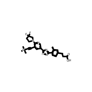 Cc1cc(CCC(=O)O)ccc1-c1noc(-c2cnc(N3CCC(F)(F)C3)c(C#C[Si](C)(C)C)c2)n1